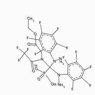 CCOC(=O)CN(C(=O)C(F)(F)F)C(N(N)c1c(F)c(F)c(F)c(F)c1F)(N(N)c1c(F)c(F)c(F)c(F)c1F)P(=O)(O)O